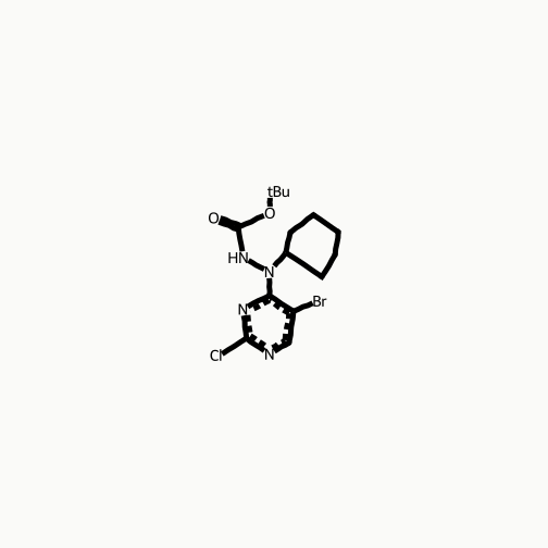 CC(C)(C)OC(=O)NN(c1nc(Cl)ncc1Br)C1CCCCC1